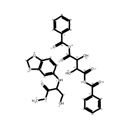 COC(=O)C(CO)Nc1ccc2c(c1)OCO2.O=C(OC(=O)C(O)C(O)C(=O)OC(=O)c1ccccc1)c1ccccc1